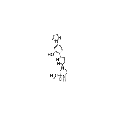 CC1(C)CN(c2ccc(-c3ccc(-n4cccn4)cc3O)nn2)CCN1